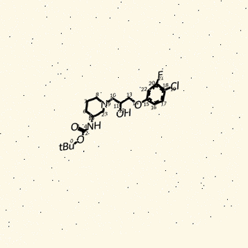 CC(C)(C)OC(=O)N[C@H]1CCCN(CC(O)COc2ccc(Cl)c(F)c2)C1